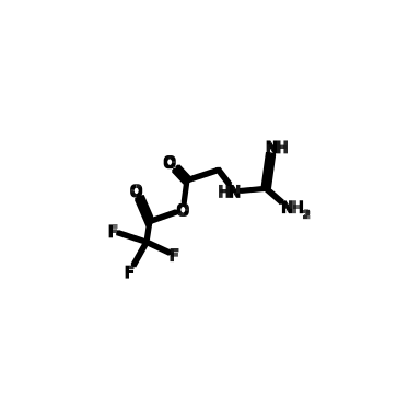 N=C(N)NCC(=O)OC(=O)C(F)(F)F